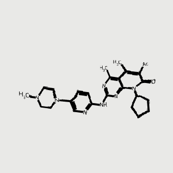 CC(=O)c1c(C)c2c(C)nc(Nc3ccc(N4CCN(C)CC4)cn3)nc2n(C2CCCC2)c1=O